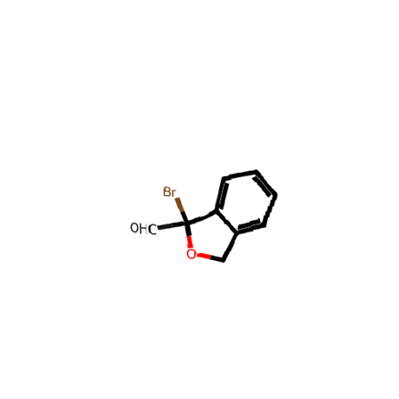 O=CC1(Br)OCc2ccccc21